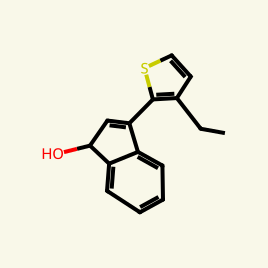 CCc1ccsc1C1=CC(O)c2ccccc21